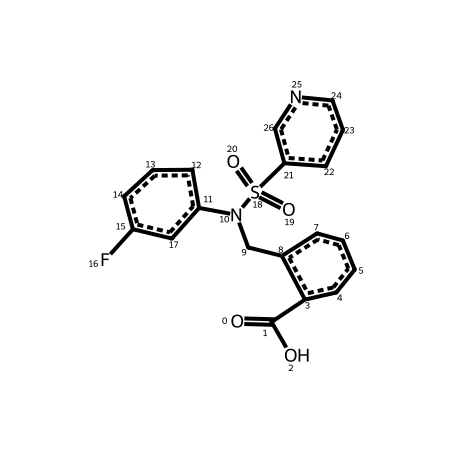 O=C(O)c1ccccc1CN(c1cccc(F)c1)S(=O)(=O)c1cccnc1